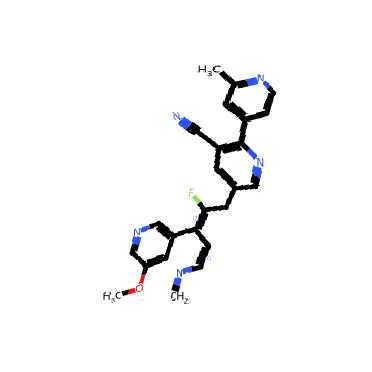 C=N/C=C\C(=C(\F)Cc1cnc(-c2ccnc(C)c2)c(C#N)c1)c1cncc(OC)c1